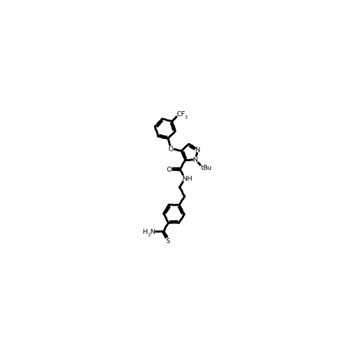 CC(C)(C)n1ncc(Oc2cccc(C(F)(F)F)c2)c1C(=O)NCCc1ccc(C(N)=S)cc1